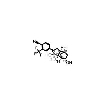 C[C@@]12[C@@H](CN(c3ccc(C#N)c(C(F)(F)F)c3)S1(O)O)[C@H]1C[C@@H](O)[C@@H]2C1